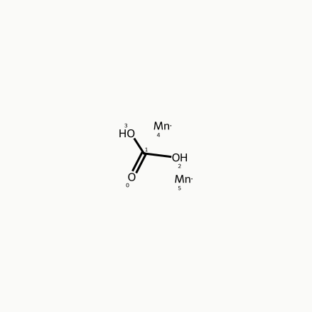 O=C(O)O.[Mn].[Mn]